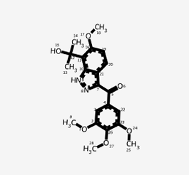 COc1cc(C(=O)c2n[nH]c3c(C(C)(C)O)c(OC)ccc23)cc(OC)c1OC